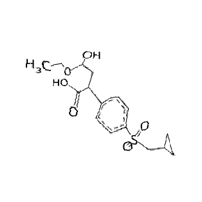 CCOC(O)CC(C(=O)O)c1ccc(S(=O)(=O)CC2CC2)cc1